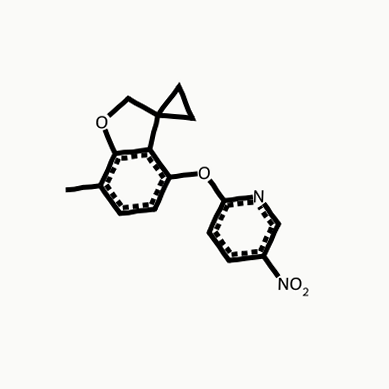 Cc1ccc(Oc2ccc([N+](=O)[O-])cn2)c2c1OCC21CC1